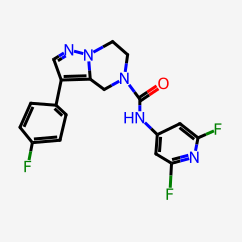 O=C(Nc1cc(F)nc(F)c1)N1CCn2ncc(-c3ccc(F)cc3)c2C1